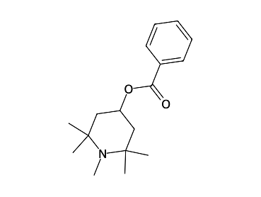 CN1C(C)(C)CC(OC(=O)c2ccccc2)CC1(C)C